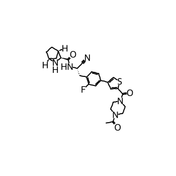 CC(=O)N1CCN(C(=O)c2cc(-c3ccc(C[C@@H](C#N)NC(=O)[C@H]4N[C@@H]5CC[C@H]4C5)c(F)c3)cs2)CC1